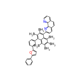 Bc1c(B)c(B)c2c(-c3ccc4ccc5cccnc5c4n3)c(B)c(B)c(-c3cccc(-c4ccc(-c5ccccc5)o4)c3)c2c1B